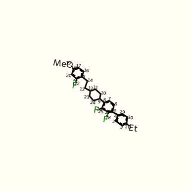 CCc1ccc(-c2ccc(C3CCC(CCc4ccc(OC)cc4F)CC3)c(F)c2F)cc1